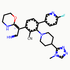 Cn1cnnc1C1CCN(c2c(-c3ccc(F)nc3)ccc(/C(C=N)=C3/NCCCO3)c2C#N)CC1